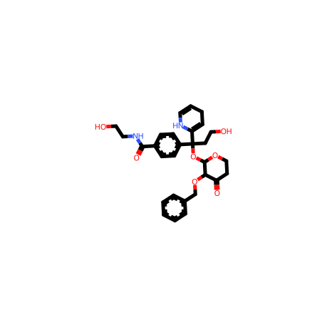 O=C(NCCO)c1ccc(C(CCO)(OC2OCCC(=O)C2OCc2ccccc2)C2=CCC=CN2)cc1